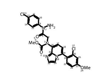 COC(=O)N(CC(=O)N(N)c1ccc(Cl)cc1)c1ccc(-c2ccc(OC)cc2Cl)n2ccnc12